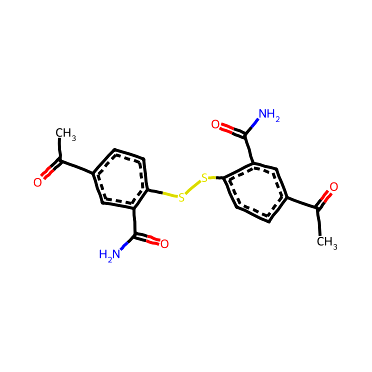 CC(=O)c1ccc(SSc2ccc(C(C)=O)cc2C(N)=O)c(C(N)=O)c1